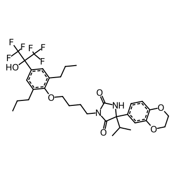 CCCc1cc(C(O)(C(F)(F)F)C(F)(F)F)cc(CCC)c1OCCCCN1C(=O)NC(c2ccc3c(c2)OCCO3)(C(C)C)C1=O